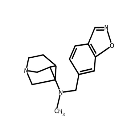 CN(Cc1ccc2cnoc2c1)C1CN2CCC1CC2